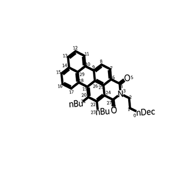 CCCCCCCCCCCCN1C(=O)c2ccc3c4cccc5cccc(c6c(CCCC)c(CCCC)c(c2c36)C1=O)c54